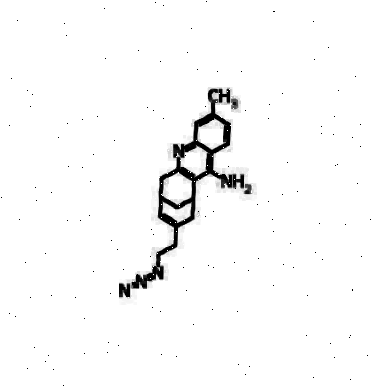 Cc1ccc2c(N)c3c(nc2c1)CC1C=C(CCN=[N+]=[N-])CC3C1